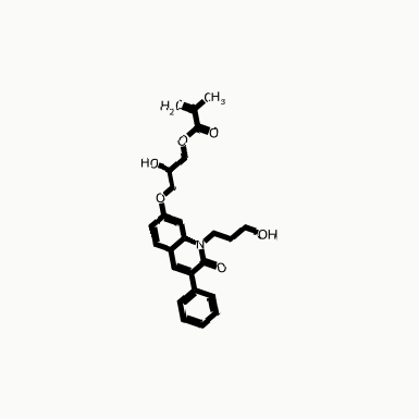 C=C(C)C(=O)OCC(O)COC1=CC2C(C=C1)C=C(c1ccccc1)C(=O)N2CCCO